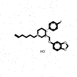 C=CCCCCN1CC[C@H](c2ccc(F)cc2)[C@@H](COc2ccc3c(c2)OCO3)C1.Cl